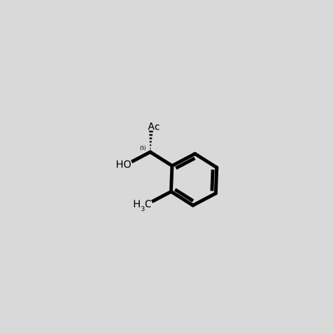 CC(=O)[C@@H](O)c1ccccc1C